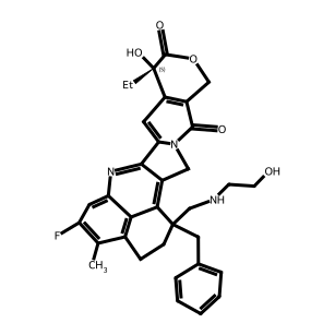 CC[C@@]1(O)C(=O)OCc2c1cc1n(c2=O)Cc2c-1nc1cc(F)c(C)c3c1c2C(CNCCO)(Cc1ccccc1)CC3